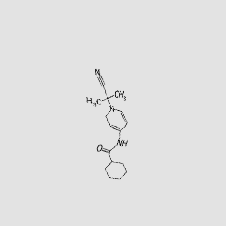 CC(C)(C#N)N1C=CC(NC(=O)C2CCCCC2)=CC1